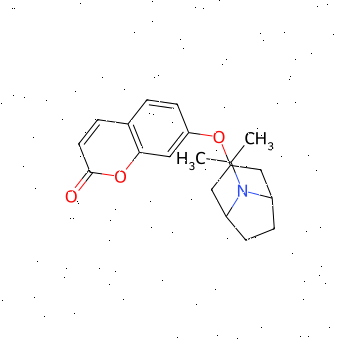 CC(C)N1C2CCC1CC(Oc1ccc3ccc(=O)oc3c1)C2